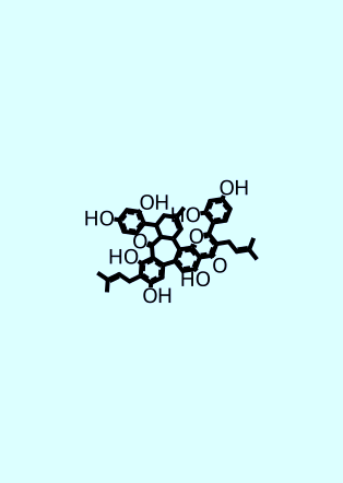 CC(C)=CCc1c(O)cc2c(c1O)C(=O)C1C(C=C(C)CC1c1ccc(O)cc1O)c1c-2cc(O)c2c(=O)c(CC=C(C)C)c(-c3ccc(O)cc3O)oc12